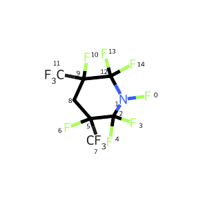 FN1C(F)(F)C(F)(C(F)(F)F)CC(F)(C(F)(F)F)C1(F)F